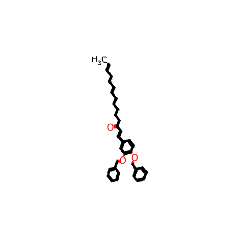 CCCCCCCCCCCCC(=O)C=Cc1ccc(OCc2ccccc2)c(OCc2ccccc2)c1